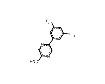 O=C(O)c1nnc(-c2cc(C(F)(F)F)cc(C(F)(F)F)c2)nn1